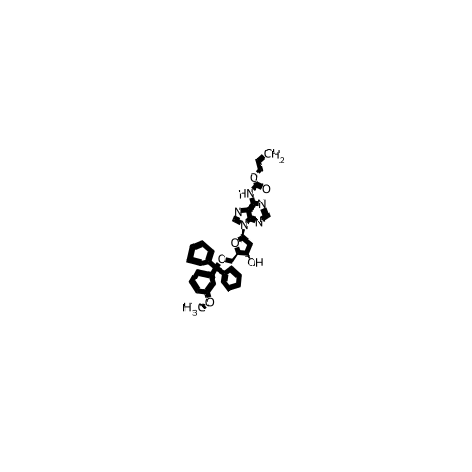 C=CCOC(=O)Nc1ncnc2c1ncn2[C@H]1C[C@H](O)[C@@H](COC(c2ccccc2)(c2ccccc2)c2cccc(OC)c2)O1